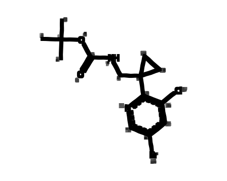 CC(C)(C)OC(=O)NCC1(c2ncc(Br)cc2Cl)CC1